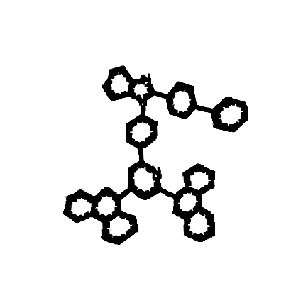 c1ccc(-c2ccc(-c3nc4ccccc4n3-c3ccc(-c4cc(-c5cc6ccccc6c6ccccc56)cc(-c5cc6ccccc6c6ccccc56)n4)cc3)cc2)cc1